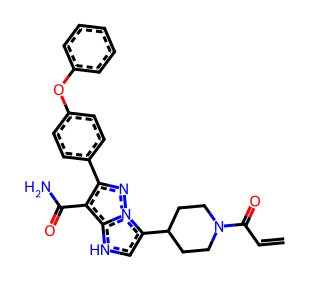 C=CC(=O)N1CCC(c2c[nH]c3c(C(N)=O)c(-c4ccc(Oc5ccccc5)cc4)nn23)CC1